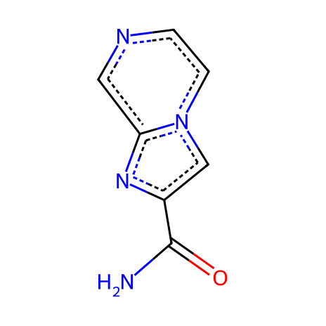 NC(=O)c1cn2ccncc2n1